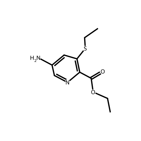 CCOC(=O)c1ncc(N)cc1SCC